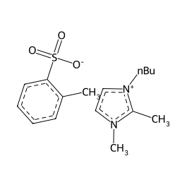 CCCC[n+]1ccn(C)c1C.Cc1ccccc1S(=O)(=O)[O-]